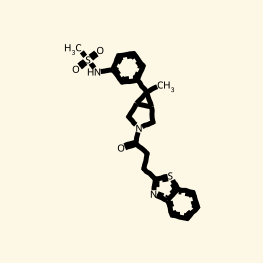 CC1(c2cccc(NS(C)(=O)=O)c2)C2CN(C(=O)CCc3nc4ccccc4s3)CC21